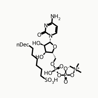 CCCCCCCCCCCCCCCCS(=O)(=O)O.C[N+](C)(C)OP(=O)([O-])OP(=O)(O)OC[C@H]1O[C@@H](n2ccc(N)nc2=O)[C@H](O)[C@@H]1O